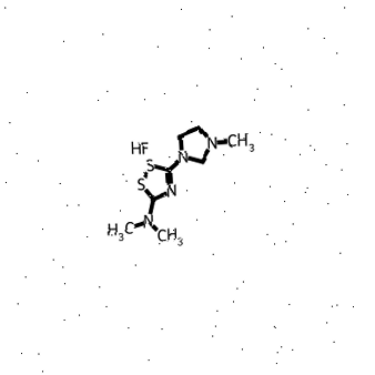 CN1CCN(C2=NC(N(C)C)SS2)C1.F